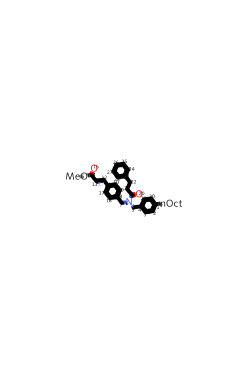 CCCCCCCCc1ccc(CN(Cc2ccc(/C=C/C(=O)OC)cc2)C(=O)CCc2ccccc2)cc1